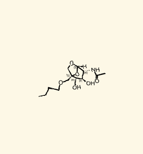 CCCCOC[C@@]12CO[C@@H](O1)[C@H](NC(C)=O)[C@@H](O)[C@H]2O